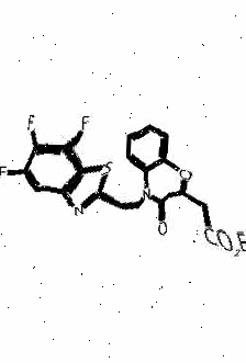 CCOC(=O)CC1Oc2ccccc2N(Cc2nc3cc(F)c(F)c(F)c3s2)C1=O